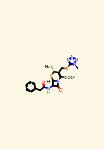 C[C@H]1S[C@@H]2C(NC(=O)Cc3ccccc3)C(=O)N2C(C(=O)[O-])=C1CSc1nnnn1C.[Na+]